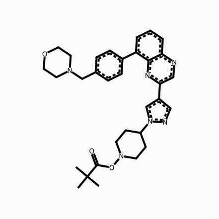 CC(C)(C)C(=O)ON1CCC(n2cc(-c3cnc4cccc(-c5ccc(CN6CCOCC6)cc5)c4n3)cn2)CC1